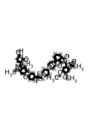 CCOc1cc([C@@H](CS(C)(=O)=O)N2C(=O)c3cccc(N4CCN(C5CCN(CC(F)(F)c6ccc(Oc7cc8c(cc7F)c([C@@]7(C)CCC(=O)NC7=O)nn8C)cc6)CC5)CC4)c3C2=O)ccc1OC